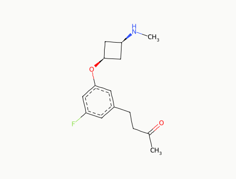 CN[C@H]1C[C@@H](Oc2cc(F)cc(CCC(C)=O)c2)C1